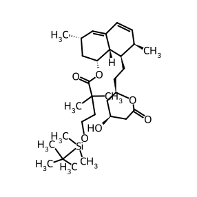 C[C@@H]1C=C2C=C[C@@H](C)[C@@H](CC[C@@H]3C[C@H](O)CC(=O)O3)[C@@H]2[C@H](OC(=O)C(C)(C)CCO[Si](C)(C)C(C)(C)C)C1